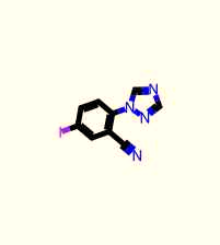 N#Cc1cc(I)ccc1-n1cncn1